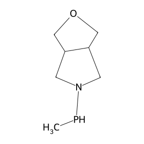 CPN1CC2COCC2C1